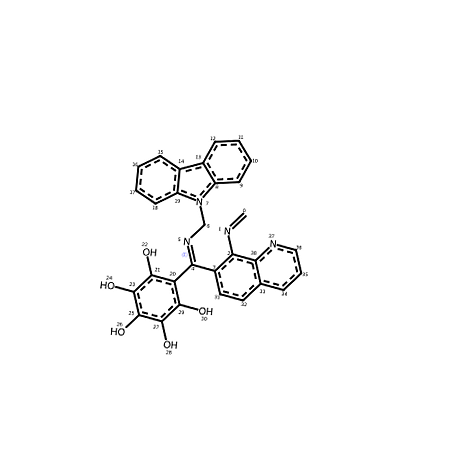 C=Nc1c(/C(=N\Cn2c3ccccc3c3ccccc32)c2c(O)c(O)c(O)c(O)c2O)ccc2cccnc12